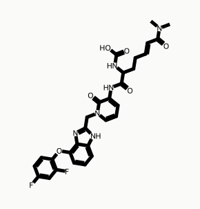 CN(C)C(=O)/C=C/CCC(NC(=O)O)C(=O)Nc1cccn(Cc2nc3c(Oc4ccc(F)cc4F)cccc3[nH]2)c1=O